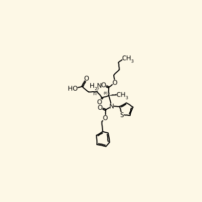 CCCCOC(=O)[C@@](C)(C(=O)[C@@H](N)CC(=O)O)N(C(=O)OCc1ccccc1)c1cccs1